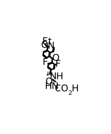 CCOc1nccc2c(C(=O)c3c(F)cc([C@H](C)NC(=O)CNC(=O)O)cc3F)cccc12